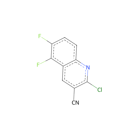 N#Cc1cc2c(F)c(F)ccc2nc1Cl